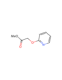 COC(=O)COc1[c]cccn1